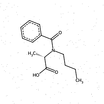 CCCCN(C(=O)c1ccccc1)[C@@H](C)C(=O)O